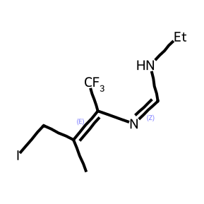 CCN/C=N\C(=C(/C)CI)C(F)(F)F